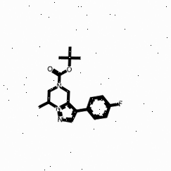 CC1CN(C(=O)OC(C)(C)C)Cc2c(-c3ccc(F)cc3)cnn21